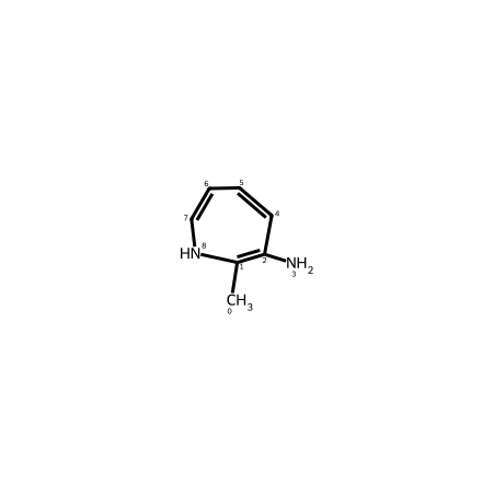 CC1=C(N)C=CC=CN1